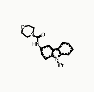 CC(C)n1c2ccccc2c2cc(NC(=O)N3CCOCC3)ccc21